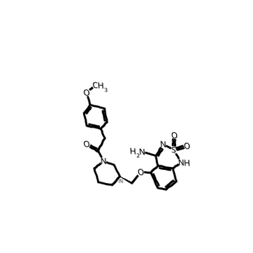 COc1ccc(CC(=O)N2CCC[C@H](COc3cccc4c3C(N)=NS(=O)(=O)N4)C2)cc1